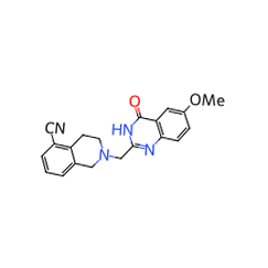 COc1ccc2nc(CN3CCc4c(C#N)cccc4C3)[nH]c(=O)c2c1